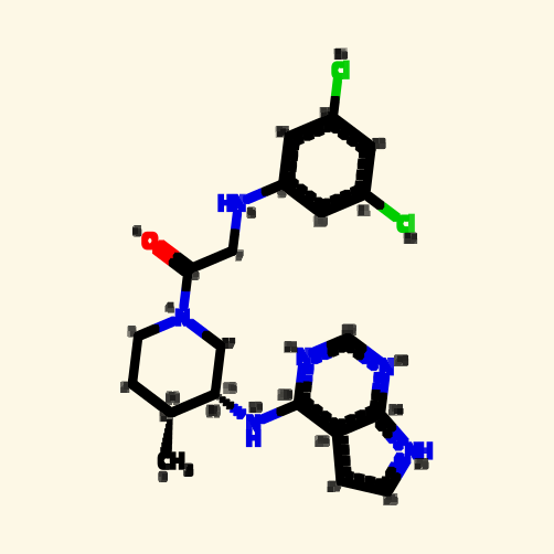 C[C@@H]1CCN(C(=O)CNc2cc(Cl)cc(Cl)c2)C[C@@H]1Nc1ncnc2[nH]ccc12